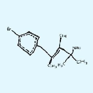 CCCCC(C)(C)/C(O)=C(\C)c1ccc(Br)cc1